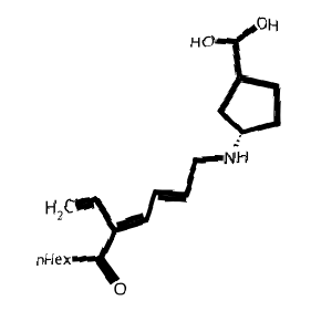 C=C/C(=C\C=C\CN[C@H]1CCC(C(O)O)C1)C(=O)CCCCCC